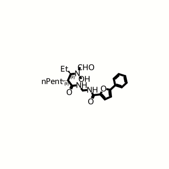 CCCCC[C@@H](C(=O)NCNC(=O)c1ccc(-c2ccccc2)o1)[C@@H](CC)N(O)C=O